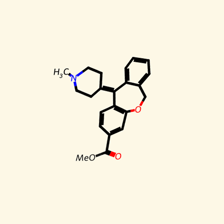 COC(=O)c1ccc2c(c1)OCc1ccccc1C2=C1CCN(C)CC1